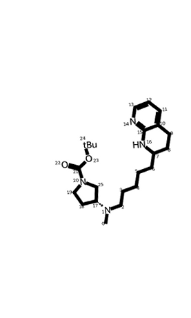 CN(CCCCCC1CCc2cccnc2N1)[C@@H]1CCN(C(=O)OC(C)(C)C)C1